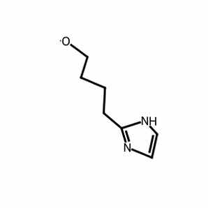 [O]CCCCc1ncc[nH]1